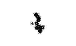 Brc1cc(-c2ccc3sc4cc5ccccc5cc4c3c2)cc(-c2cc3c4ccccc4n(-c4ccccc4)c3c3ccccc23)c1